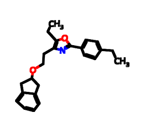 CCc1ccc(-c2nc(CCOC3Cc4ccccc4C3)c(CC)o2)cc1